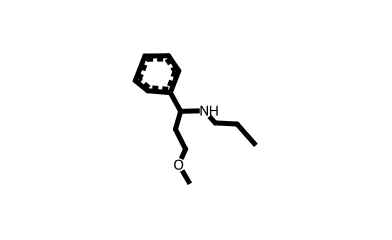 CCCNC(CCOC)c1ccccc1